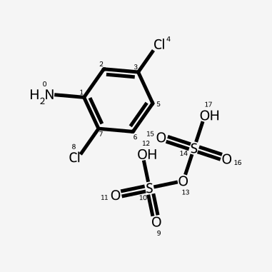 Nc1cc(Cl)ccc1Cl.O=S(=O)(O)OS(=O)(=O)O